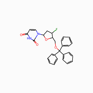 O=c1ccn(C2CC(F)C(COC(c3ccccc3)(c3ccccc3)c3ccccc3)O2)c(=O)[nH]1